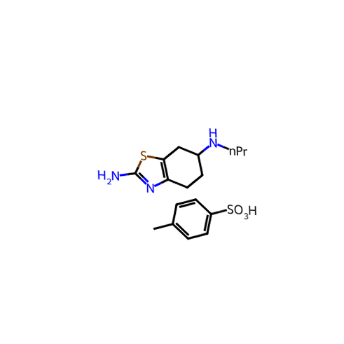 CCCNC1CCc2nc(N)sc2C1.Cc1ccc(S(=O)(=O)O)cc1